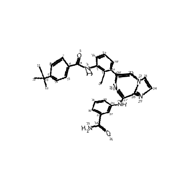 Cc1c(NC(=O)c2ccc(C(C)(C)C)cc2)cccc1-c1cn2ccnc2c(Nc2cccc(C(N)=O)c2)n1